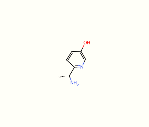 C[C@@H](N)c1ccc(O)cn1